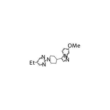 CCc1cnc(N2CCC(c3cnn4cc(OC)ccc34)CC2)nc1